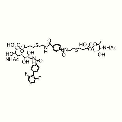 CC(=O)NC1C(O)C[C@](OCCCSCCNC(=O)c2ccc(C(=O)NCCSCCCO[C@]3(C(=O)O)C[C@H](O)C(NC(C)=O)[C@H](C)O3)cc2)(C(=O)O)O[C@H]1C(O)[C@H](O)CNC(=O)c1ccc(-c2c(F)cccc2F)cc1